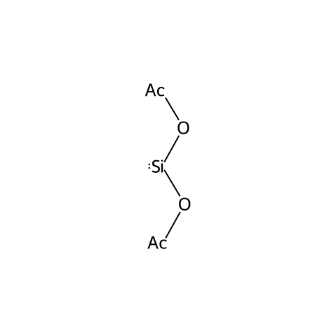 CC(=O)O[Si]OC(C)=O